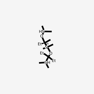 CCC(CC)(O[Si](C)(C)[C@](C)(CC)O[SiH](C)C)[SiH](C)C